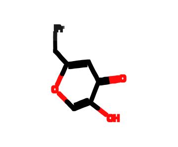 CC(C)Cc1cc(=O)c(O)co1